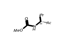 COC(=O)N[C@@H](C(C)=O)C(C)C